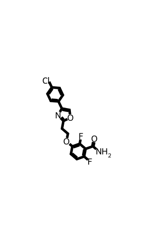 NC(=O)c1c(F)ccc(OCCc2nc(-c3ccc(Cl)cc3)co2)c1F